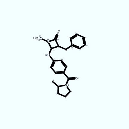 CC1CCCN1C(=O)c1ccc(OC2C(Cc3ccccc3)C(=O)N2C(=O)O)cc1